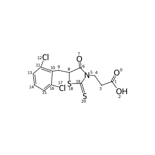 O=C(O)CCN1C(=O)C(Cc2c(Cl)cccc2Cl)SC1=S